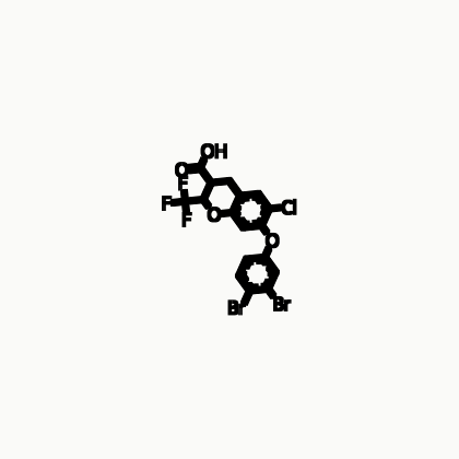 O=C(O)C1Cc2cc(Cl)c(Oc3ccc(Br)c(Br)c3)cc2OC1C(F)(F)F